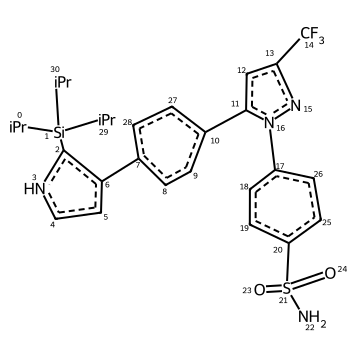 CC(C)[Si](c1[nH]ccc1-c1ccc(-c2cc(C(F)(F)F)nn2-c2ccc(S(N)(=O)=O)cc2)cc1)(C(C)C)C(C)C